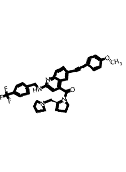 COc1ccc(C#Cc2ccc3nc(NCc4ccc(C(F)(F)F)cc4)cc(C(=O)N4CCC[C@H]4CN4CCCC4)c3c2)cc1